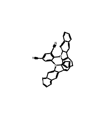 N#Cc1cc(C#N)c(N2C3=C(CCC=C3)C3C=c4ccccc4=CC32)c(-n2c3ccccc3c3cc4ccccc4cc32)c1